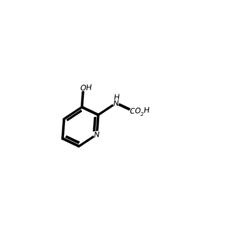 O=C(O)Nc1ncccc1O